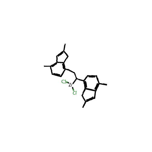 CC1=Cc2c(C)ccc(C[CH](c3ccc(C)c4c3CC(C)=C4)[Zr]([Cl])[Cl])c2C1